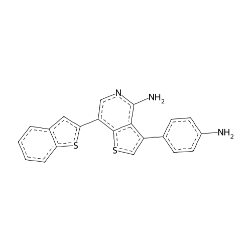 Nc1ccc(-c2csc3c(-c4cc5ccccc5s4)cnc(N)c23)cc1